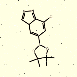 CC1(C)OB(C2=CC3C=NN=C3C(Cl)=C2)OC1(C)C